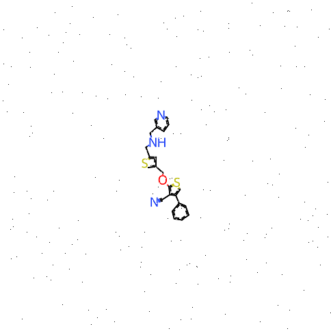 N#Cc1c(-c2ccccc2)csc1OCc1csc(CNCc2cccnc2)c1